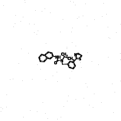 CC(C)N(Cc1cccc(-c2nccs2)c1)C(=O)Nc1ccc2ccccc2c1